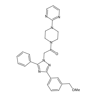 COCc1cccc(-c2nc(-c3ccccc3)n(CC(=O)N3CCN(c4ncccn4)CC3)n2)c1